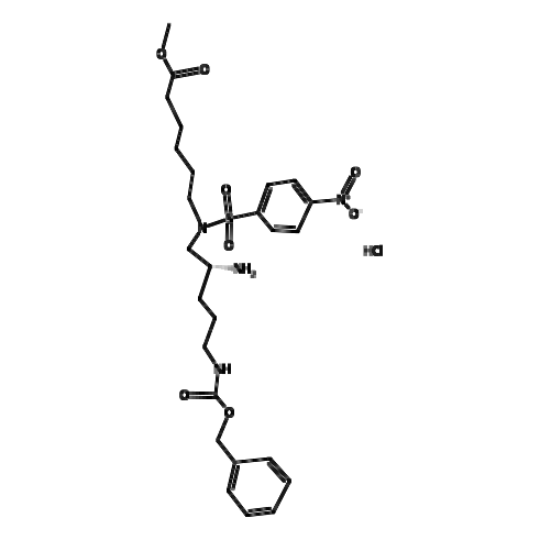 COC(=O)CCCCCN(C[C@H](N)CCCNC(=O)OCc1ccccc1)S(=O)(=O)c1ccc([N+](=O)[O-])cc1.Cl